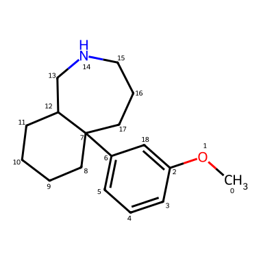 COc1cccc(C23CCCCC2CNCCC3)c1